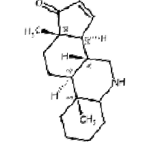 C[C@]12CCCCC1NC[C@@H]1[C@@H]2CC[C@]2(C)C(=O)C=C[C@@H]12